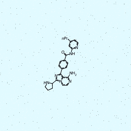 CCCc1ccnc(NC(=O)c2ccc(-c3nc(C4CCCN4)n4ccnc(N)c34)cc2)c1